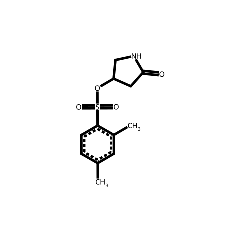 Cc1ccc(S(=O)(=O)OC2CNC(=O)C2)c(C)c1